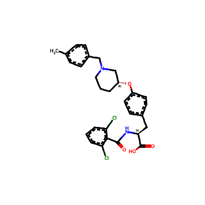 Cc1ccc(CN2CCC[C@@H](Oc3ccc(C[C@H](NC(=O)c4c(Cl)cccc4Cl)C(=O)O)cc3)C2)cc1